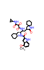 COc1cccc2[nH]c(C(=O)N[C@@H](CC3CCCCC3)C(CC3CC4(CCCCC4)NC3=O)NC(=O)C(=O)C(=O)NC3CC3)cc12